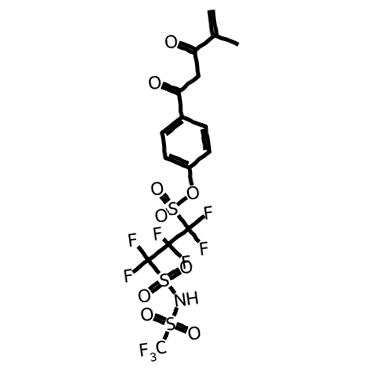 C=C(C)C(=O)CC(=O)c1ccc(OS(=O)(=O)C(F)(F)C(F)(F)C(F)(F)S(=O)(=O)NS(=O)(=O)C(F)(F)F)cc1